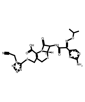 CC(C)ON=C(C(=O)NC1C(=O)N2C(C(=O)O)=C(CSc3nnnn3CC#N)CS[C@@H]12)c1csc(N)n1